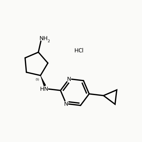 Cl.NC1CC[C@H](Nc2ncc(C3CC3)cn2)C1